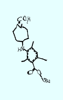 Cc1cc(C)c(C(=O)OC(C)(C)C)c(C)c1NC1CCN(C(=O)O)CC1